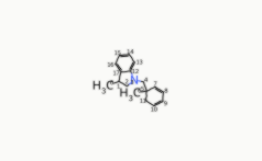 CC1CN(CC2(C)C=CC=CC2)c2ccccc21